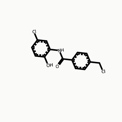 O=C(Nc1cc(Cl)ccc1O)c1ccc(CCl)cc1